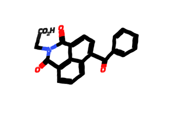 O=C(O)CN1C(=O)c2cccc3c(C(=O)c4ccccc4)ccc(c23)C1=O